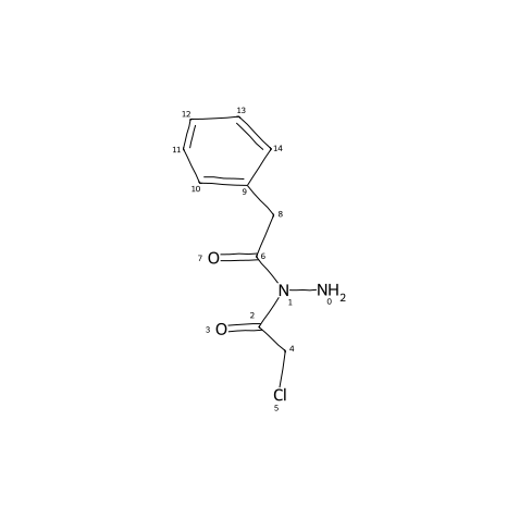 NN(C(=O)CCl)C(=O)Cc1ccccc1